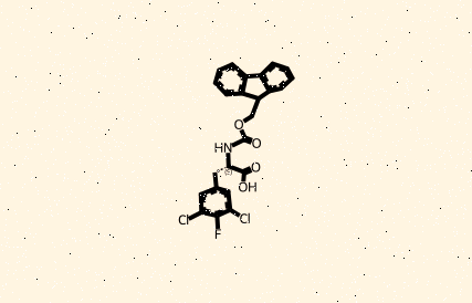 O=C(N[C@@H](Cc1cc(Cl)c(F)c(Cl)c1)C(=O)O)OCC1c2ccccc2-c2ccccc21